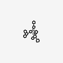 c1ccc(-c2ccc(N(c3ccc(-c4cc5ccccc5c5ccccc45)cc3)c3cccc4c3oc3c5ccccc5c(-c5ccccc5)cc43)cc2)cc1